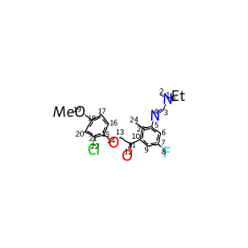 CCN(C)C=Nc1cc(F)cc(C(=O)COc2ccc(OC)cc2Cl)c1C